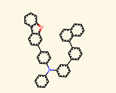 c1ccc(N(c2ccc(-c3ccc4c(c3)oc3ccccc34)cc2)c2cccc(-c3cccc(-c4cccc5ccccc45)c3)c2)cc1